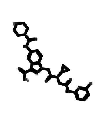 NC(=O)c1nn(CC(=O)N(CC(=O)Nc2cccc(Cl)n2)C2CC2)c2ccc(NC(=O)N3CCNCC3)cc12